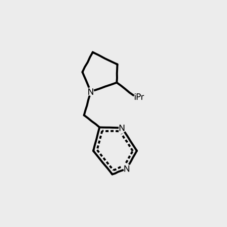 CC(C)C1CCCN1Cc1ccncn1